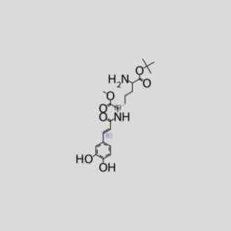 COC(=O)[C@H](CCCC(N)C(=O)OC(C)(C)C)NC(=O)/C=C/c1ccc(O)c(O)c1